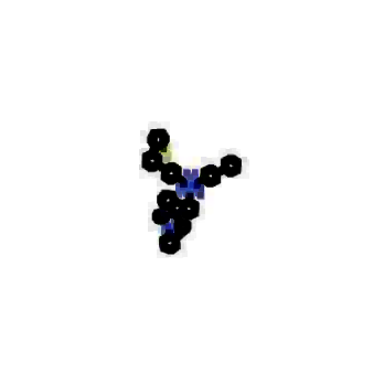 c1ccc(-c2ccc(-c3nc(-c4ccc(-c5cccc6c5sc5ccccc56)cc4)nc(-c4cccc5c4-c4ccccc4C54c5ccccc5-n5c6ccccc6c6cccc4c65)n3)cc2)cc1